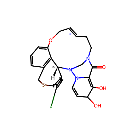 O=C1C2=C(O)C(O)C=CN2N2CN1CC/C=C/COc1cccc3c1[C@H]2c1cccc(F)c1SC3